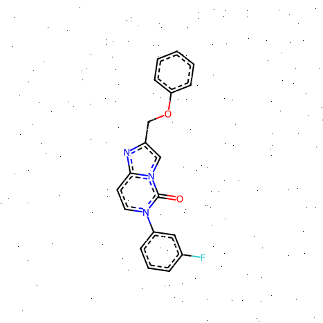 O=c1n(-c2cccc(F)c2)ccc2nc(COc3ccccc3)cn12